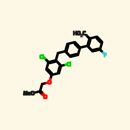 COC(=O)COc1cc(Cl)c(Cc2ccc(-c3cc(F)ccc3C(=O)O)cc2)c(Cl)c1